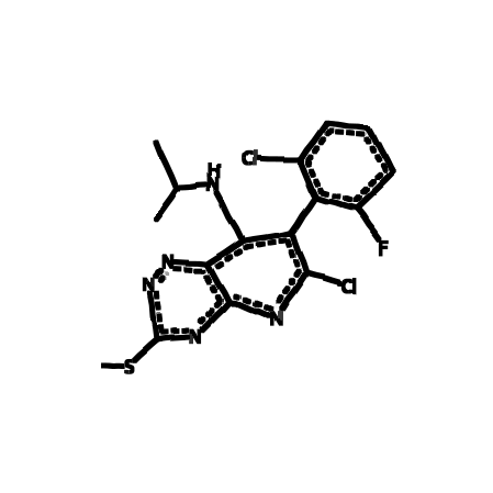 CSc1nnc2c(NC(C)C)c(-c3c(F)cccc3Cl)c(Cl)nc2n1